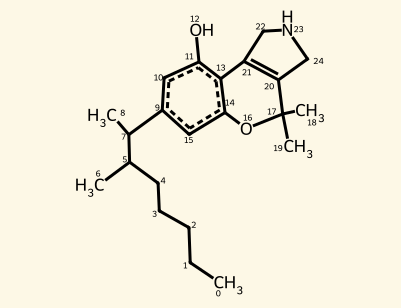 CCCCCC(C)C(C)c1cc(O)c2c(c1)OC(C)(C)C1=C2CNC1